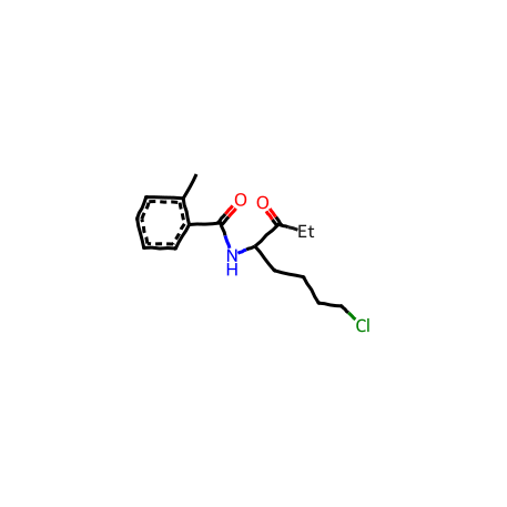 CCC(=O)C(CCCCCl)NC(=O)c1ccccc1C